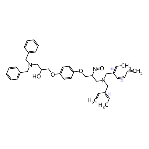 C=C/C=C\C(=C/C)CN(C/C(C=C)=C/C)CC(COc1ccc(OCC(O)CN(Cc2ccccc2)Cc2ccccc2)cc1)N=O